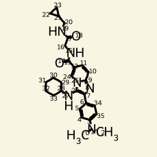 CN(C)c1ccc(-c2nc3ccc(C(=O)NCC(=O)NCC4CC4)cn3c2NC2CCCCC2)cc1